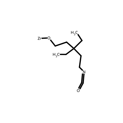 CCC(CC)(CCN=C=O)CC[O][Zr]